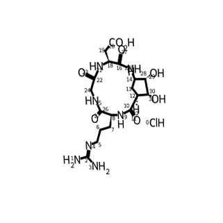 Cl.NC(N)=NCCC[C@@H]1NC(=O)[C@H]2C[C@@H](NC(=O)[C@H](CC(=O)O)NC(=O)CNC1=O)[C@H](O)[C@H]2O